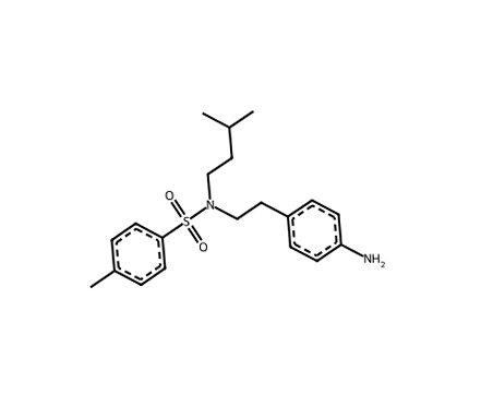 Cc1ccc(S(=O)(=O)N(CCc2ccc(N)cc2)CCC(C)C)cc1